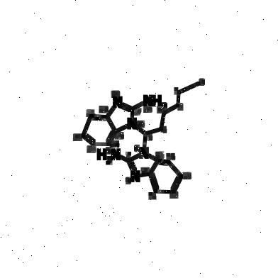 CCCCCC(n1c(N)nc2ccccc21)n1c(N)nc2ccccc21